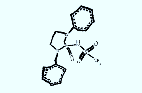 O=P1(NS(=O)(=O)C(F)(F)F)N(c2ccccc2)CCN1c1ccccc1